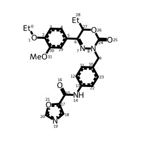 CCOc1ccc(C2=NN(Cc3ccc(NC(=O)c4cnco4)cc3)C(=O)OC2CC)cc1OC